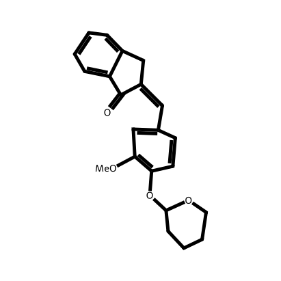 COc1cc(/C=C2/Cc3ccccc3C2=O)ccc1OC1CCCCO1